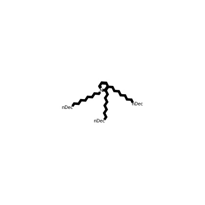 CCCCCCCCCCCCCCCCCC[n+]1cccc(CCCCCCCCCCCCCCCCC)c1CCCCCCCCCCCCCCCCC